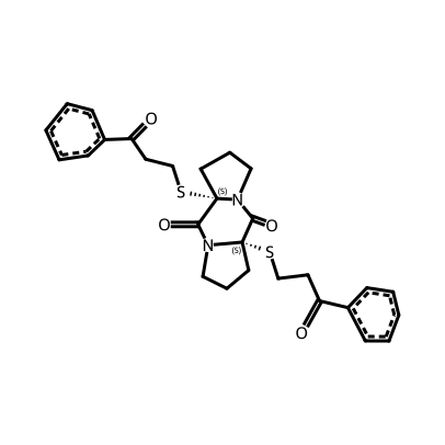 O=C(CCS[C@]12CCCN1C(=O)[C@@]1(SCCC(=O)c3ccccc3)CCCN1C2=O)c1ccccc1